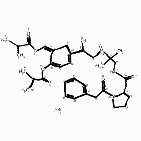 Br.CC(C)C(=O)O/C=C1/CC(C(O)CNC(C)(C)CNC(=O)C2CCCN2C(=O)Cc2ccccc2)=CC=C1OC(=O)C(C)C